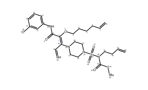 C=CCCCCO/C(C(=O)Nc1cccc(Cl)c1)=C(/C=N)N1CCN(S(=O)(=O)N(CCC=C)C(=O)OC(C)(C)C)CC1